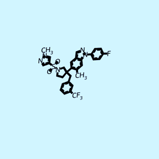 Cc1cc2c(cnn2-c2ccc(F)cc2)cc1C1(Cc2cccc(C(F)(F)F)c2)CCN(S(=O)(=O)c2cnn(C)c2)C1